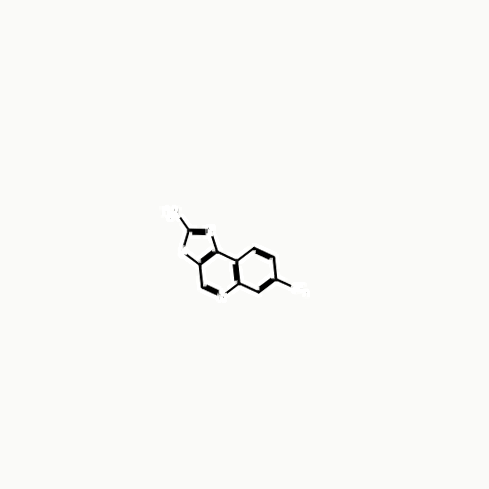 Nc1nc2c(cnc3cc(C(F)(F)F)ccc32)s1